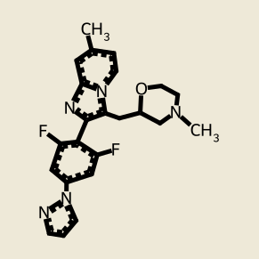 Cc1ccn2c(CC3CN(C)CCO3)c(-c3c(F)cc(-n4cccn4)cc3F)nc2c1